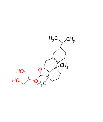 CC(C)C1CCC2=C(CCC3C(C)(C(=O)OC(CO)CO)CCCC23C)C1